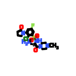 CN1CCN(C(=O)[C@H](CN)NS(=O)(=O)c2cc(F)cc(N3CCCC3=O)c2Cl)CC1